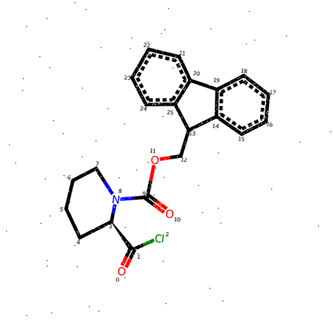 O=C(Cl)[C@H]1CCCCN1C(=O)OCC1c2ccccc2-c2ccccc21